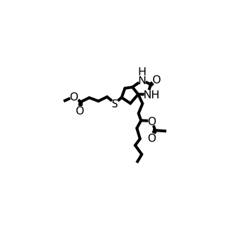 CCCCCC(CCC12CC(SCCCC(=O)OC)CC1NC(=O)N2)OC(C)=O